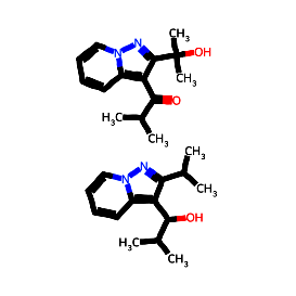 CC(C)C(=O)c1c(C(C)(C)O)nn2ccccc12.CC(C)c1nn2ccccc2c1C(O)C(C)C